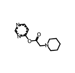 O=C(CN1CCCCC1)Oc1ccncn1